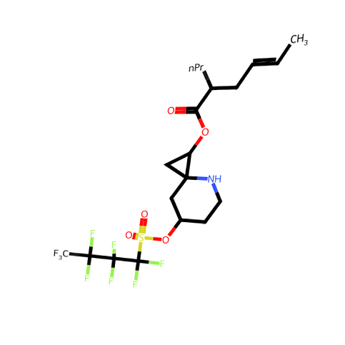 CC=CCC(CCC)C(=O)OC1CC12CC(OS(=O)(=O)C(F)(F)C(F)(F)C(F)(F)C(F)(F)F)CCN2